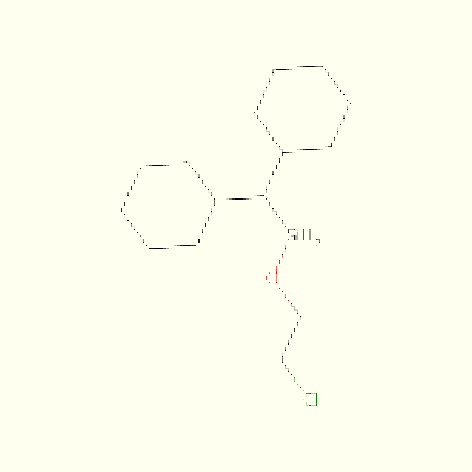 ClCCO[SiH2]C(C1CCCCC1)C1CCCCC1